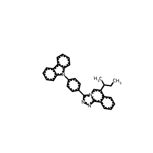 CCC(C)c1cn2c(-c3ccc(-n4c5ccccc5c5ccccc54)cc3)nnc2c2ccccc12